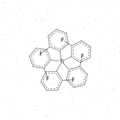 Fc1cccc[c]1[Ti]([c]1ccccc1F)([c]1ccccc1F)([c]1ccccc1F)[c]1ccccc1F